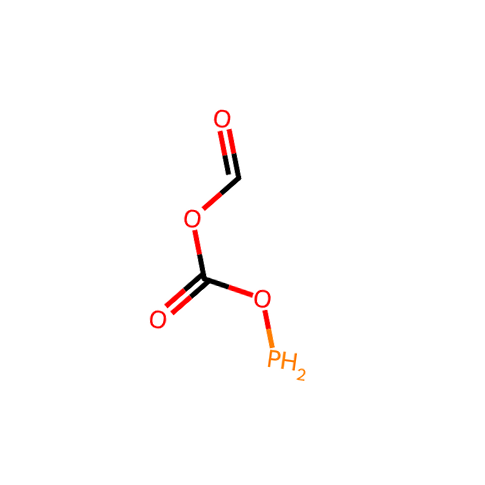 O=COC(=O)OP